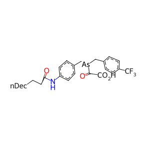 CCCCCCCCCCCCC(=O)Nc1ccc(C[As](Cc2ccc(C(F)(F)F)cc2)C(=O)C(=O)O)cc1